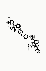 CC(C)Nc1c(-c2cn([C@H]3CC[C@H](CN4CCN(c5cccc6c5n(C)c(=O)n6C5CCC(=O)NC5=O)CC4)CC3)nn2)cnc2sc(-c3cncs3)cc12